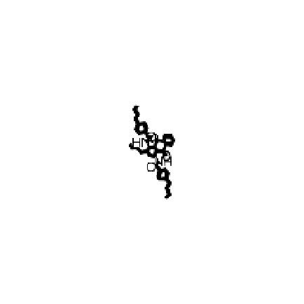 CCCCc1ccc(C(=O)Nc2cc(CCCC)c(NC(=O)c3ccc(CCCC)cc3)c3c2C(=O)c2ccccc2C3=O)cc1